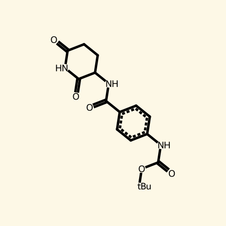 CC(C)(C)OC(=O)Nc1ccc(C(=O)NC2CCC(=O)NC2=O)cc1